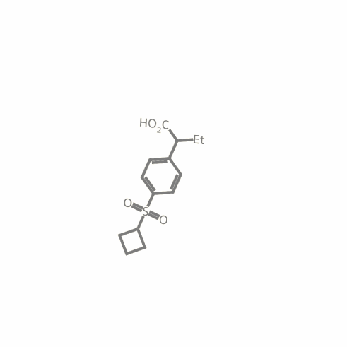 CCC(C(=O)O)c1ccc(S(=O)(=O)C2CCC2)cc1